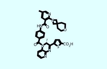 Cc1cnc(N2CC3(CCOCC3)C2)c(C(=O)Nc2ccc(C(=O)N3c4cccnc4N=C(c4ccc(C(=O)O)s4)[C@H]3C)cc2)c1